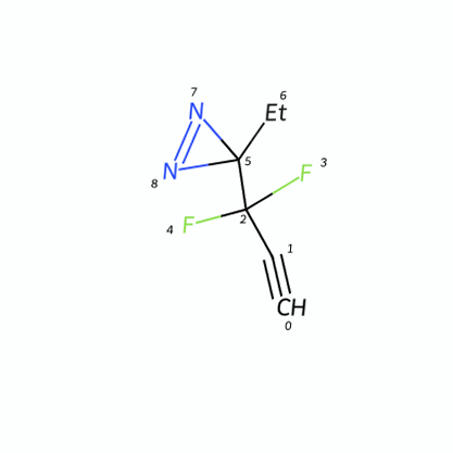 C#CC(F)(F)C1(CC)N=N1